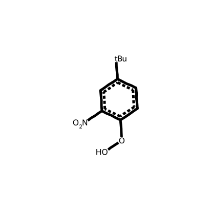 CC(C)(C)c1ccc(OO)c([N+](=O)[O-])c1